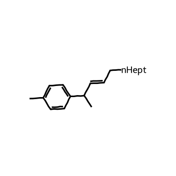 CCCCCCCCC=CC(C)c1ccc(C)cc1